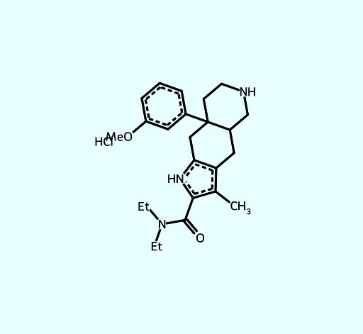 CCN(CC)C(=O)c1[nH]c2c(c1C)CC1CNCCC1(c1cccc(OC)c1)C2.Cl